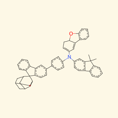 CC1(C)c2ccccc2-c2ccc(N(C3=CCC4Oc5ccccc5C4=C3)c3ccc(-c4ccc5c(c4)-c4ccccc4C54C5CC6CC(C5)CC4C6)cc3)cc21